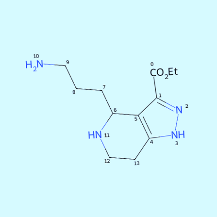 CCOC(=O)c1n[nH]c2c1C(CCCN)NCC2